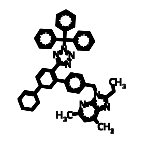 CCc1nc2c(C)cc(C)nc2n1Cc1ccc(C2=C(c3nnn(C(c4ccccc4)(c4ccccc4)c4ccccc4)n3)C=CC(C3=CCCCC3)C2)cc1